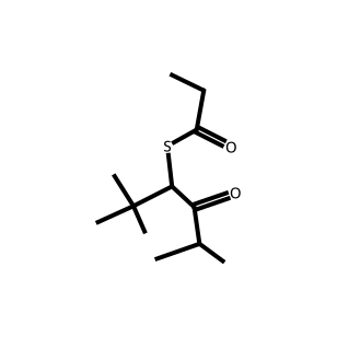 CCC(=O)SC(C(=O)C(C)C)C(C)(C)C